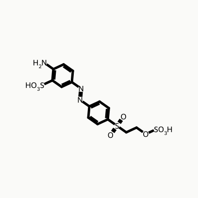 Nc1ccc(N=Nc2ccc(S(=O)(=O)CCOS(=O)(=O)O)cc2)cc1S(=O)(=O)O